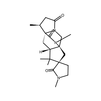 C[C@H]1CC(=O)N2C[C@]34C[C@]5(CCN(C)C5=O)C(C)(C)[C@@H]3C[C@]12C(=O)N4C